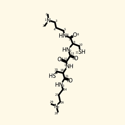 CN(C)CCCNC(=O)C(CS)NC(=O)C(=O)NC(CS)C(=O)NCCCN(C)C